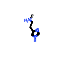 [CH2-][NH2+]CCc1c[nH]cn1